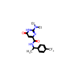 CCN(CC)c1nc(C(=O)NC(C)c2ccc(C(F)(F)F)cc2)cc(=O)[nH]1